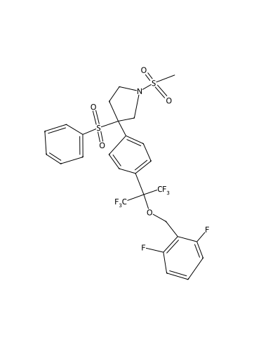 CS(=O)(=O)N1CCC(c2ccc(C(OCc3c(F)cccc3F)(C(F)(F)F)C(F)(F)F)cc2)(S(=O)(=O)c2ccccc2)C1